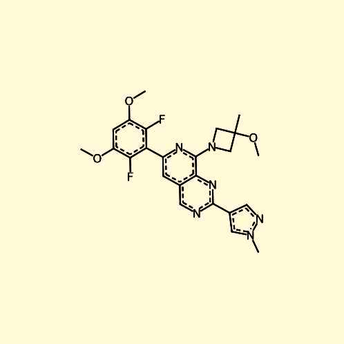 COc1cc(OC)c(F)c(-c2cc3cnc(-c4cnn(C)c4)nc3c(N3CC(C)(OC)C3)n2)c1F